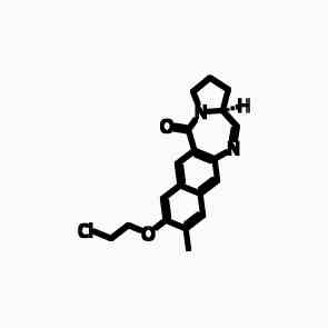 Cc1cc2cc3c(cc2cc1OCCCl)C(=O)N1CCC[C@H]1C=N3